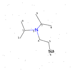 CC(C)N(C[CH2][Na])C(C)C